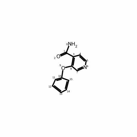 NC(=O)c1ccncc1Oc1ccccc1